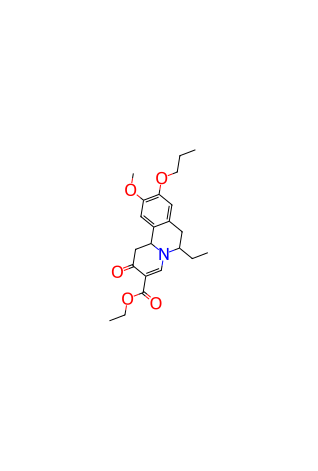 CCCOc1cc2c(cc1OC)C1CC(=O)C(C(=O)OCC)=CN1C(CC)C2